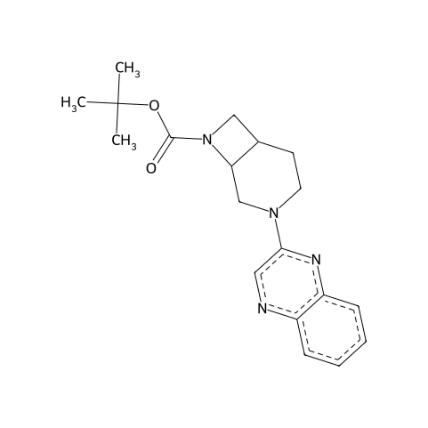 CC(C)(C)OC(=O)N1CC2CCN(c3cnc4ccccc4n3)CC21